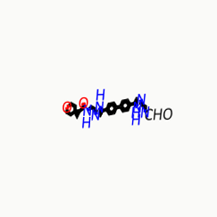 O=CNCc1ncc(-c2ccc(-c3ccc(-c4cnc(CNC(=O)C5CC56CCOCC6)[nH]4)cc3)cc2)[nH]1